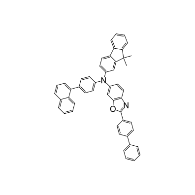 CC1(C)c2ccccc2-c2ccc(N(c3ccc(-c4cccc5ccccc45)cc3)c3ccc4nc(-c5ccc(-c6ccccc6)cc5)oc4c3)cc21